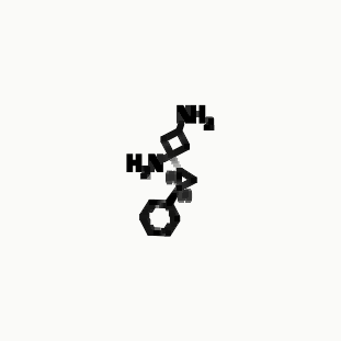 NC1CC(N)([C@@H]2C[C@H]2c2ccccc2)C1